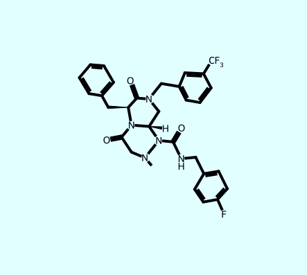 CN1CC(=O)N2[C@@H](Cc3ccccc3)C(=O)N(Cc3cccc(C(F)(F)F)c3)C[C@@H]2N1C(=O)NCc1ccc(F)cc1